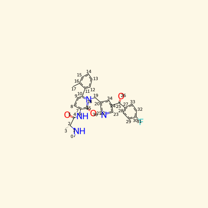 CN[C@H](C)C(=O)Nc1ccc(-c2ccccc2C)n(Cc2cncc(C(=O)c3ccc(F)cc3)c2)c1=O